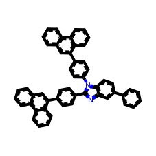 c1ccc(-c2ccc3c(c2)nc(-c2ccc(-c4cc5ccccc5c5ccccc45)cc2)n3-c2ccc(-c3cc4ccccc4c4ccccc34)cc2)cc1